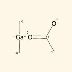 CC(=O)[O-].[CH3][Ga+][CH3]